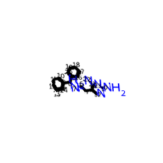 Nc1ncc(CCN=C(c2ccccc2)c2ccccc2)c(N)n1